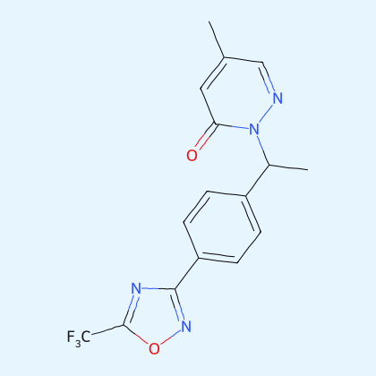 Cc1cnn(C(C)c2ccc(-c3noc(C(F)(F)F)n3)cc2)c(=O)c1